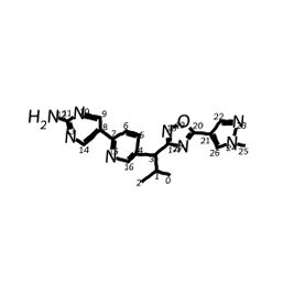 CC(C)C(c1ccc(-c2cnc(N)nc2)nc1)c1noc(-c2cnn(C)c2)n1